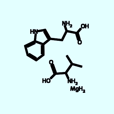 CC(C)C(N)C(=O)O.NC(Cc1c[nH]c2ccccc12)C(=O)O.[MgH2]